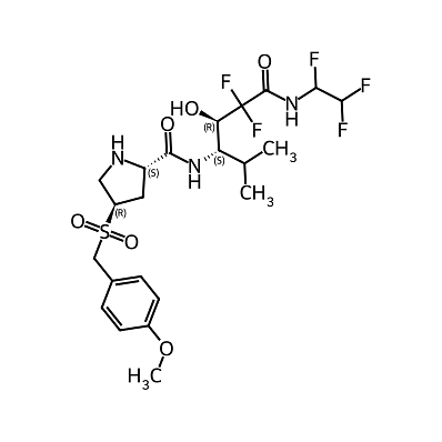 COc1ccc(CS(=O)(=O)[C@H]2CN[C@H](C(=O)N[C@@H](C(C)C)[C@@H](O)C(F)(F)C(=O)NC(F)C(F)F)C2)cc1